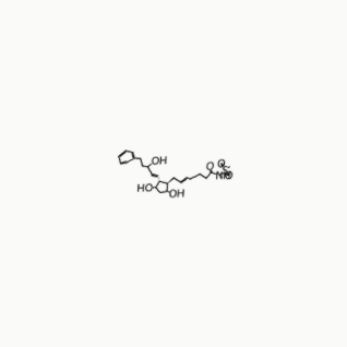 CS(=O)(=O)NC(=O)CCCC=CC[C@@H]1[C@@H](C=CC(O)CCc2ccccc2)[C@H](O)C[C@@H]1O